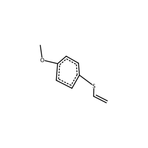 C=CSc1ccc(OC)cc1